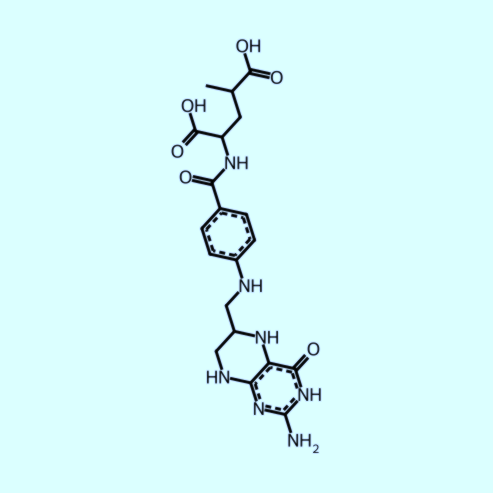 CC(CC(NC(=O)c1ccc(NCC2CNc3nc(N)[nH]c(=O)c3N2)cc1)C(=O)O)C(=O)O